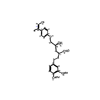 COc1ccc(CCN(C=O)CC(O)COc2ccc(/C(C)=C\C#N)cc2)cc1OC